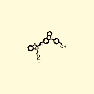 O=COCC[n+]1c(/C=C/c2ccc3c(c2)C2CCCC2N3c2ccc(CO)cc2)sc2ccccc21